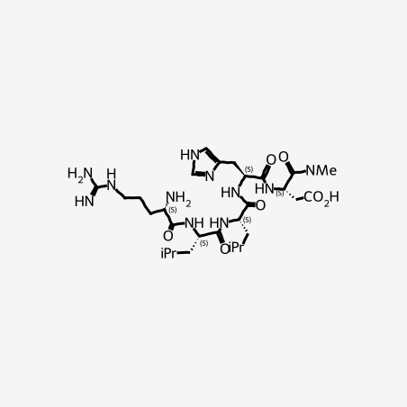 CNC(=O)[C@H](CC(=O)O)NC(=O)[C@H](Cc1c[nH]cn1)NC(=O)[C@H](CC(C)C)NC(=O)[C@H](CC(C)C)NC(=O)[C@@H](N)CCCNC(=N)N